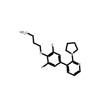 O=C(O)CCCOc1c(F)cc(-c2cccnc2N2CCCC2)cc1F